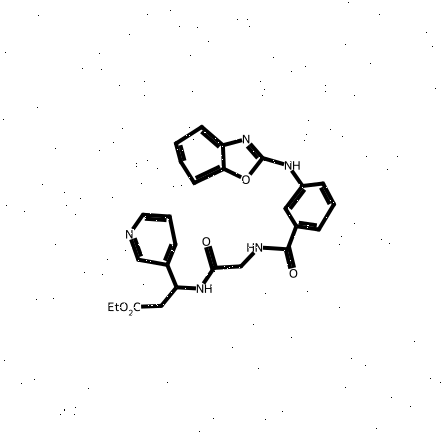 CCOC(=O)CC(NC(=O)CNC(=O)c1cccc(Nc2nc3ccccc3o2)c1)c1cccnc1